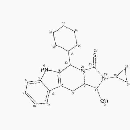 OC1C2Cc3c([nH]c4ccccc34)C(C3CCCCC3)N2C(=S)N1C1CC1